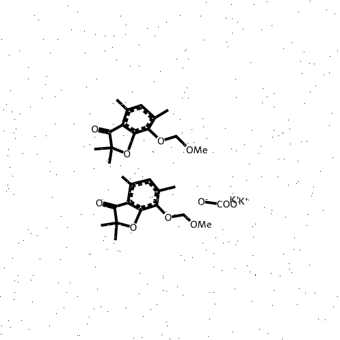 COCOc1c(C)cc(C)c2c1OC(C)(C)C2=O.COCOc1c(C)cc(C)c2c1OC(C)(C)C2=O.O=C([O-])[O-].[K+].[K+]